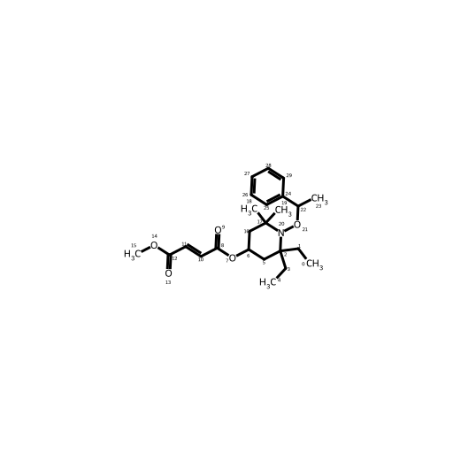 CCC1(CC)CC(OC(=O)C=CC(=O)OC)CC(C)(C)N1OC(C)c1ccccc1